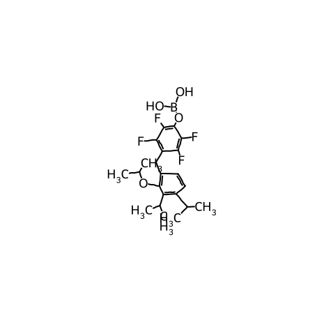 CC(C)Oc1c(Cc2c(F)c(F)c(OB(O)O)c(F)c2F)ccc(C(C)C)c1C(C)C